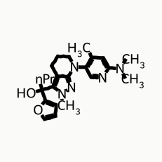 CCCC(O)(c1ccco1)c1c2c(nn1C)N(c1cnc(N(C)C)cc1C)CCC2